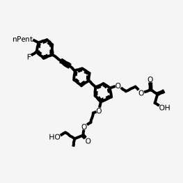 C=C(CO)C(=O)OCCOc1cc(OCCOC(=O)C(C)CO)cc(-c2ccc(C#Cc3ccc(CCCCC)c(F)c3)cc2)c1